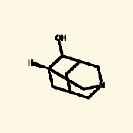 OC1C2CC3C[C@H]1CN(C3)C2